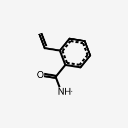 C=Cc1ccccc1C([NH])=O